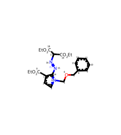 CCOC(=O)c1ccn(COCc2ccccc2)c1/N=N/C(C(=O)OCC)C(=O)OCC